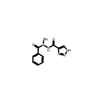 CC(C)(C)N(NC(=O)c1c[nH]nn1)C(=O)c1ccccc1